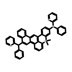 C[Si]1(C)c2cc(B(c3ccccc3)c3ccccn3)ccc2-c2cc3c4ccccc4c(C(c4ccccc4)c4ccccn4)cc3c3cccc1c23